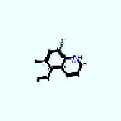 C=Cc1c(C)cc(Cl)c2c1C=CCN2